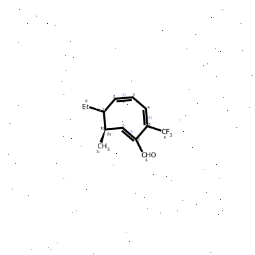 CCC1\C=C/C=C(C(F)(F)F)\C(C=O)=C\[C@H]1C